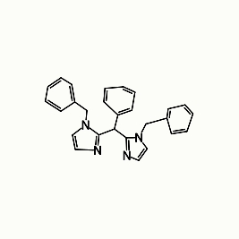 c1ccc(Cn2ccnc2C(c2ccccc2)c2nccn2Cc2ccccc2)cc1